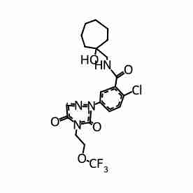 O=C(NCC1(O)CCCCCC1)c1cc(-n2ncc(=O)n(CCOC(F)(F)F)c2=O)ccc1Cl